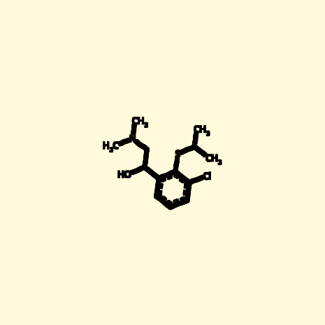 CC(C)Sc1c(Cl)cccc1C(O)CN(C)C